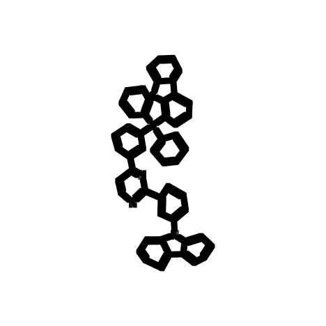 c1ccc(S(c2ccccc2)(c2cccc(-c3ccnc(-c4cccc(-n5c6ccccc6c6ccccc65)c4)n3)c2)c2cccc3c2sc2ccccc23)cc1